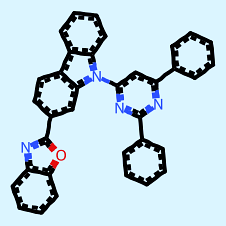 c1ccc(-c2cc(-n3c4ccccc4c4ccc(-c5nc6ccccc6o5)cc43)nc(-c3ccccc3)n2)cc1